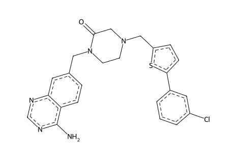 Nc1ncnc2cc(CN3CCN(Cc4ccc(-c5cccc(Cl)c5)s4)CC3=O)ccc12